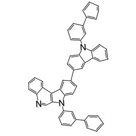 c1ccc(-c2cccc(-n3c4ccccc4c4cc(-c5ccc6c(c5)c5c7ccccc7ncc5n6-c5cccc(-c6ccccc6)c5)ccc43)c2)cc1